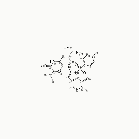 Cc1ccc(S(=O)(=O)n2c(-c3cc(CN)cc4c3OC(C(C)C)C(=O)N4)cc3ccn(C)c(=O)c32)cc1.Cl